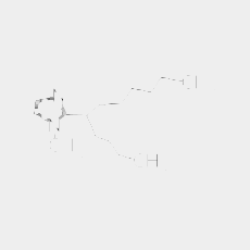 CCCCCCC(CCCC)c1nccn1C